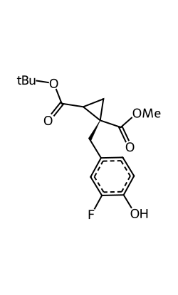 COC(=O)[C@@]1(Cc2ccc(O)c(F)c2)CC1C(=O)OC(C)(C)C